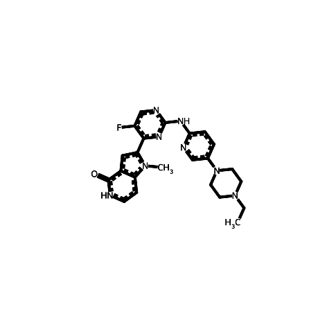 CCN1CCN(c2ccc(Nc3ncc(F)c(-c4cc5c(=O)[nH]ccc5n4C)n3)nc2)CC1